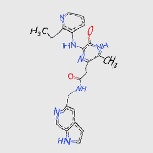 CCc1ncccc1Nc1nc(CC(=O)NCc2cc3cc[nH]c3cn2)c(C)[nH]c1=O